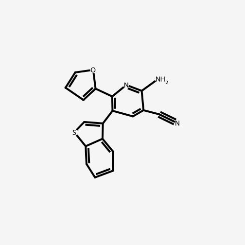 N#Cc1cc(-c2csc3ccccc23)c(-c2ccco2)nc1N